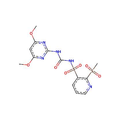 COc1cc(OC)nc(NC(=O)NS(=O)(=O)c2cccnc2S(C)(=O)=O)n1